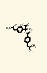 CC(C)Cc1ccc(C(=O)OC(C)(C(=O)O)c2ccc(CC(C)C)cc2)cc1